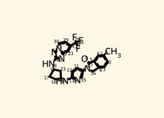 Cc1ccc2c(c1)C(=O)N(c1ccc(N[C@H]3CC[C@H](Nc4nc5cc(C(F)(F)F)ccn5n4)C3)nc1)C2